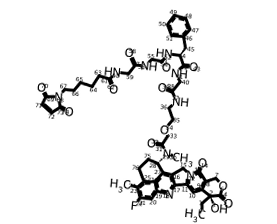 CC[C@@]1(O)C(=O)OCc2c1cc1n(c2=O)Cc2c-1nc1cc(F)c(C)c3c1c2[C@@H](N(C)C(=O)COCCNC(=O)CNC(=O)[C@H](Cc1ccccc1)NC(=O)CNC(=O)CNC(=O)CCCCCN1C(=O)C=CC1=O)CC3